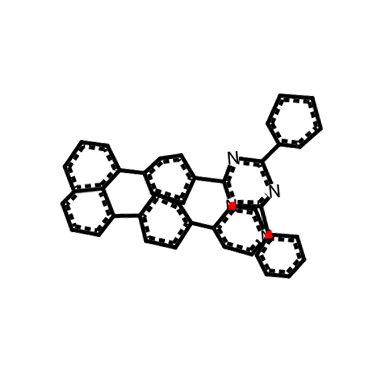 c1ccc(-c2nc(-c3ccccc3)nc(-c3ccc(-c4cccc5cccc(-c6ccc(-c7ccncc7)cc6)c45)cc3)n2)cc1